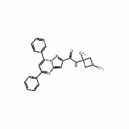 CN1CC(C)(NC(=O)c2cc3nc(-c4ccccc4)cc(-c4ccccc4)n3n2)C1